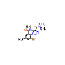 Cc1cc(Br)c2c(c1)c(=O)n(C)c1c(C(=O)N(C)C)ncn21